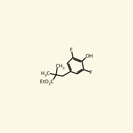 CCOC(=O)C(C)(C)Cc1cc(F)c(O)c(F)c1